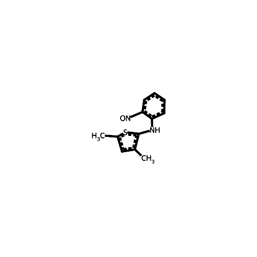 Cc1cc(C)c(Nc2ccccc2N=O)s1